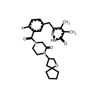 Cc1c(Cc2ccc(F)c(C(=O)N3CCN(C4COC5(CCCC5)C4)C(=O)C3)c2)n[nH]c(=O)c1C